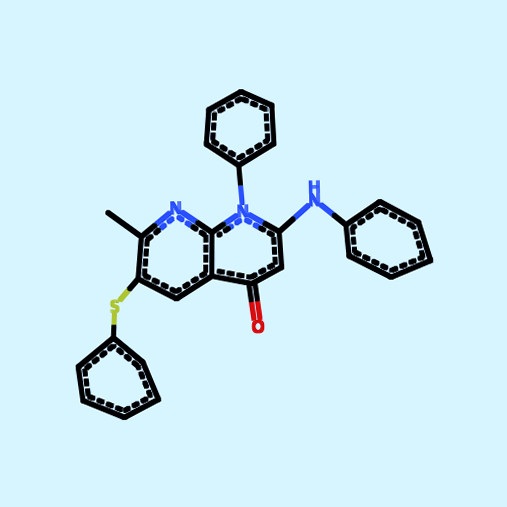 Cc1nc2c(cc1Sc1ccccc1)c(=O)cc(Nc1ccccc1)n2-c1ccccc1